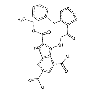 CCOC(=O)c1[nH]c2cc(C(=O)Cl)cc(C(=O)Cl)c2c1NCC(=O)c1ccccc1Cc1ccccc1